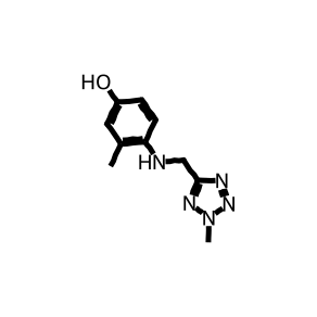 Cc1cc(O)ccc1NCc1nnn(C)n1